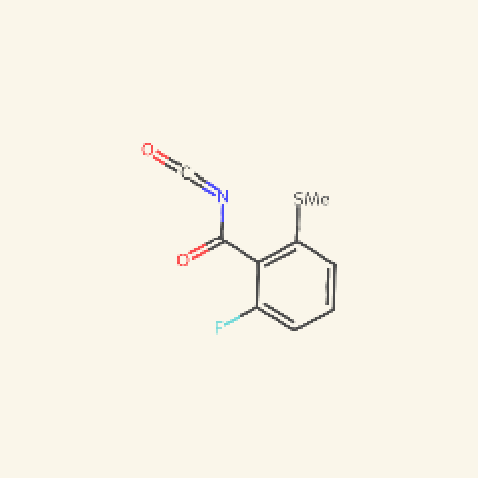 CSc1cccc(F)c1C(=O)N=C=O